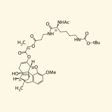 COc1ccc2c3c1O[C@H]1C(OC(=O)[C@H](C)OC(=O)CCNC(=O)[C@H](CCCCNC(=O)OC(C)(C)C)NC(C)=O)=CC[C@@]4(O)[C@@H](C2)C(C)CC[C@]314